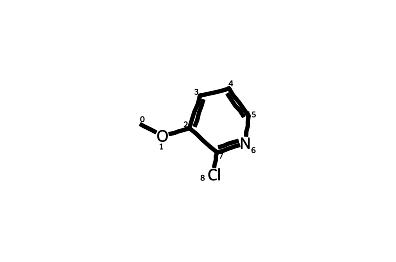 COc1cc[c]nc1Cl